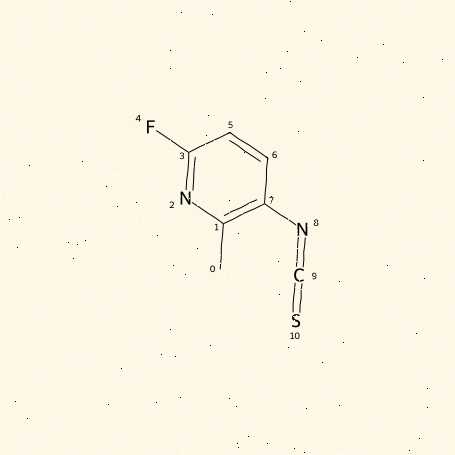 Cc1nc(F)ccc1N=C=S